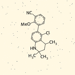 COc1c(C#N)cccc1-c1ccc2c(c1Cl)C(C)CC(C)(C)N2